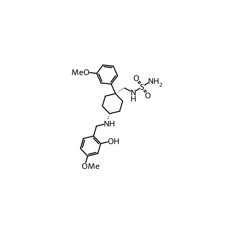 COc1ccc(CN[C@H]2CC[C@](CNS(N)(=O)=O)(c3cccc(OC)c3)CC2)c(O)c1